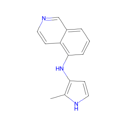 Cc1[nH]ccc1Nc1cccc2cnccc12